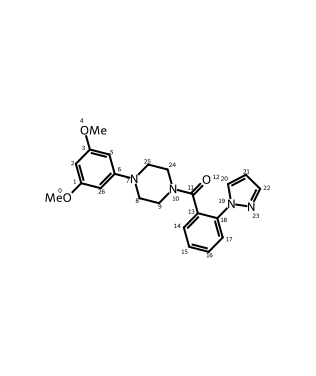 COc1cc(OC)cc(N2CCN(C(=O)c3ccccc3-n3cccn3)CC2)c1